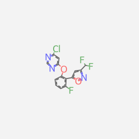 Fc1cccc(Oc2cc(Cl)ncn2)c1-c1cc(C(F)F)no1